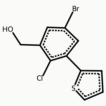 OCc1cc(Br)cc(-c2cccs2)c1Cl